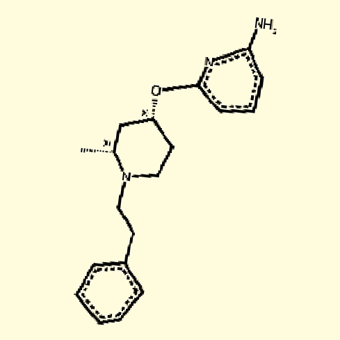 C[C@@H]1C[C@H](Oc2cccc(N)n2)CCN1CCc1ccccc1